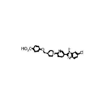 O=C(O)c1ccc(OCC2CCN(c3ccc(-c4nc5ccc(Cl)cc5[nH]4)cn3)CC2)cc1